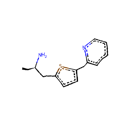 C[C@@H](N)Cc1ccc(-c2ccccn2)s1